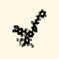 C[C@@H]1CN(c2ccc(-n3cc(C(=O)NCCCN4CCOCC4)nn3)cc2NC(=O)c2nc(N)c(Cl)nc2C(F)(F)F)C[C@H](C)N1C